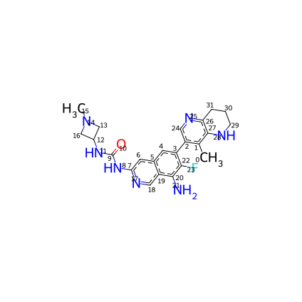 Cc1c(-c2cc3cc(NC(=O)NC4CN(C)C4)ncc3c(N)c2F)cnc2c1NCCC2